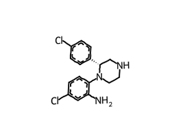 Nc1cc(Cl)ccc1N1CCNC[C@H]1c1ccc(Cl)cc1